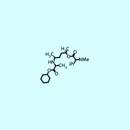 CNC(C(=O)OC(C)CCC(C)NC(C)C(=O)OC1CCCCC1)C(C)C